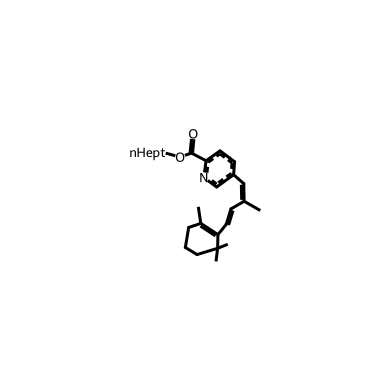 CCCCCCCOC(=O)c1ccc(C=C(C)C=CC2=C(C)CCCC2(C)C)cn1